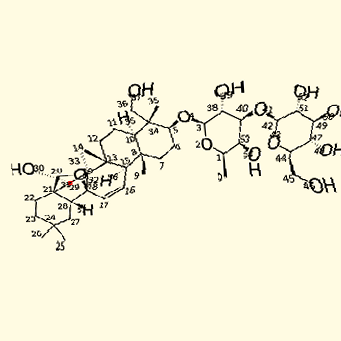 C[C@H]1O[C@@H](O[C@H]2CC[C@@]3(C)[C@@H](CC[C@]4(C)[C@@H]3C=C[C@]35OC[C@@]6(CCC(C)(C)C[C@H]63)[C@@H](O)C[C@]54C)[C@]2(C)CO)[C@H](O)[C@@H](O[C@@H]2O[C@H](CO)[C@@H](O)[C@H](O)[C@H]2O)[C@H]1O